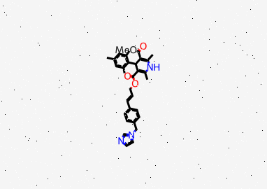 COC(=O)C1=C(C)NC(C)=C(C(=O)OCC=Cc2ccc(Cn3ccnc3)cc2)C1c1c(C)cc(C)cc1C